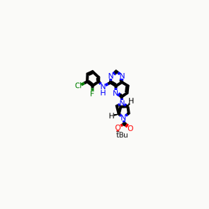 CC(C)(C)OC(=O)N1C[C@@H]2C[C@H]1CN2c1ccc2ncnc(Nc3cccc(Cl)c3F)c2n1